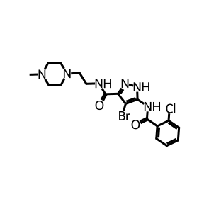 CN1CCN(CCNC(=O)c2n[nH]c(NC(=O)c3ccccc3Cl)c2Br)CC1